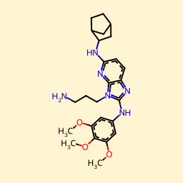 COc1cc(Nc2nc3ccc(NC4CC5CCC4C5)nc3n2CCCN)cc(OC)c1OC